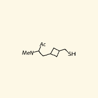 CNC(CC1CC(CS)C1)C(C)=O